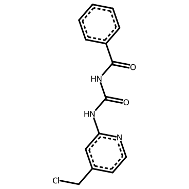 O=C(NC(=O)c1ccccc1)Nc1cc(CCl)ccn1